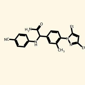 CCc1cc(CC)n(-c2ccc(C(Nc3ccc(C#N)cc3)C(N)=O)cc2C)n1